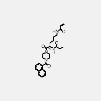 C=CC(=O)NCCCC[C@H](NC(=O)CC)C(=O)N1CCN(C(=O)c2cccc3ccccc23)CC1